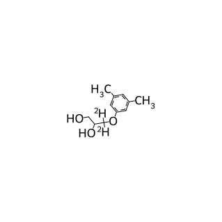 [2H]C([2H])(Oc1cc(C)cc(C)c1)C(O)CO